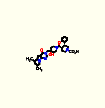 Cc1cc(C)c2cc3c(=O)n(CC4(O)CCN(C(=O)[C@@H]5CCN(C(=O)O)C[C@H]5c5ccccc5)CC4)cnc3n2c1